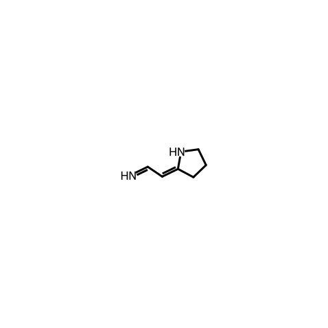 N=CC=C1CCCN1